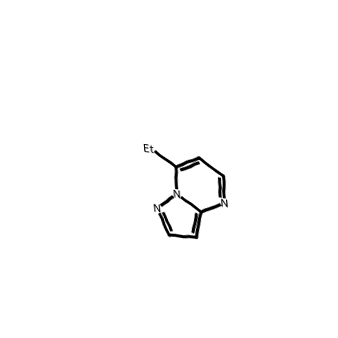 CCc1ccnc2ccnn12